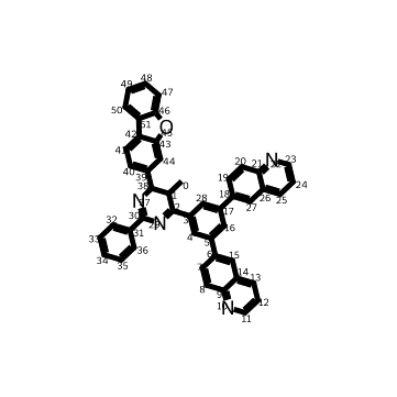 CC1C(c2cc(-c3ccc4ncccc4c3)cc(-c3ccc4ncccc4c3)c2)=NC(c2ccccc2)=NC1c1ccc2c(c1)oc1ccccc12